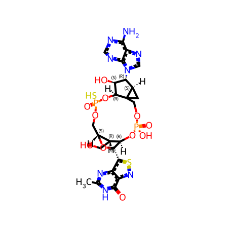 Cc1nc2c([C@@H]3O[C@@H]4COP(=O)(S)O[C@H]5[C@@H](O)[C@H](n6cnc7c(N)ncnc76)[C@H]6CC65COP(=O)(O)O[C@@H]3[C@@H]4CO)snc2c(=O)[nH]1